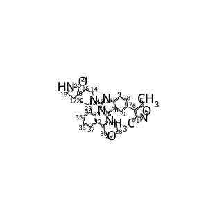 Cc1noc(C)c1-c1ccc2nc(N3CCC4(CCNC4=O)CC3)nc(N3CCOC[C@@H]3c3ccccc3)c2c1